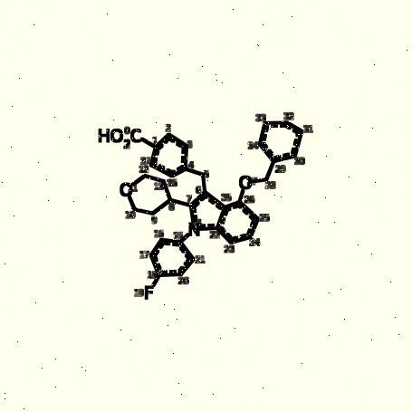 O=C(O)c1ccc(Cc2c(C3CCOCC3)n(-c3ccc(F)cc3)c3cccc(OCc4ccccc4)c23)cc1